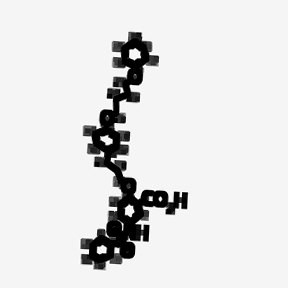 O=C(O)c1cc(NS(=O)(=O)c2ccccc2)ccc1OCCCc1ccc(OCCCCOc2ccccc2)cc1